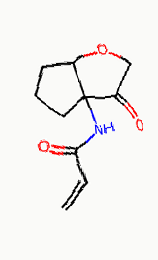 C=CC(=O)NC12CCCC1OCC2=O